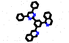 c1ccc(-c2cc(-c3ccccc3)nc(-c3cc(-c4cc5ccccc5cn4)cc(-c4nccc5ccccc45)c3)n2)cc1